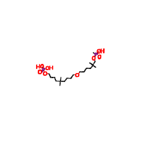 CC(C)(CCCCOCCCCC(C)(C)COP(C)(=O)O)CCCCOP(=O)(O)O